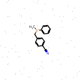 C[S+](Cc1ccc(C#N)cc1)c1ccccc1